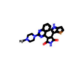 BN1CCN(c2nc(C3=C(c4c[nH]c5ccsc45)C(=O)NC3=O)c3ccccc3n2)CC1